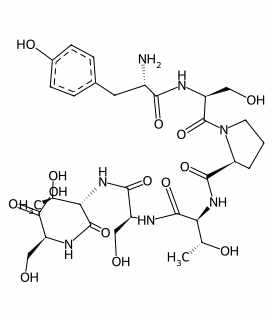 C[C@@H](O)[C@H](NC(=O)[C@H](CO)NC(=O)[C@@H](NC(=O)[C@@H]1CCCN1C(=O)[C@H](CO)NC(=O)[C@@H](N)Cc1ccc(O)cc1)[C@@H](C)O)C(=O)N[C@@H](CO)C(=O)O